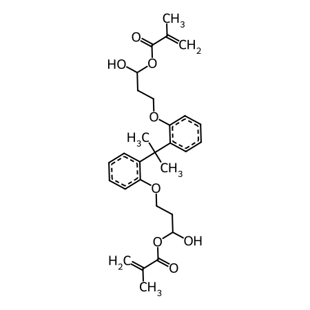 C=C(C)C(=O)OC(O)CCOc1ccccc1C(C)(C)c1ccccc1OCCC(O)OC(=O)C(=C)C